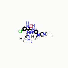 CC[C@@H](N)CNc1c(-c2nc3cc(N(C)C4CCN(C)CC4)ccc3[nH]2)c(=O)[nH]c2ccc(Cl)cc12